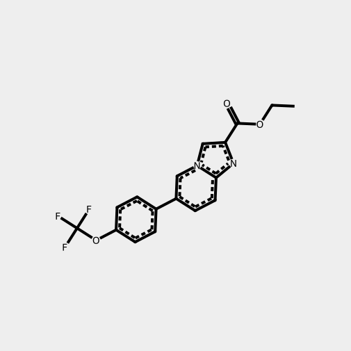 CCOC(=O)c1cn2cc(-c3ccc(OC(F)(F)F)cc3)ccc2n1